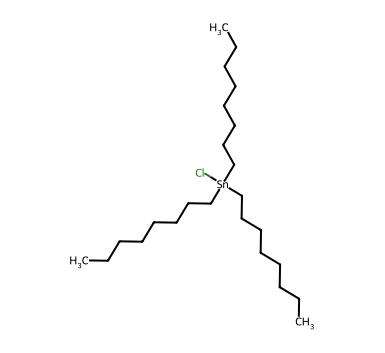 CCCCCCC[CH2][Sn]([Cl])([CH2]CCCCCCC)[CH2]CCCCCCC